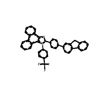 FC(F)(F)c1ccc(-n2c(-c3ccc(-c4ccc5c(c4)Cc4ccccc4-5)cc3)nc3c4ccccc4c4ccccc4c32)cc1